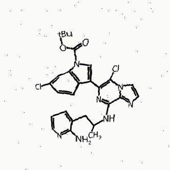 CC(Cc1cccnc1N)Nc1nc(-c2cn(C(=O)OC(C)(C)C)c3cc(Cl)ccc23)c(Cl)n2ccnc12